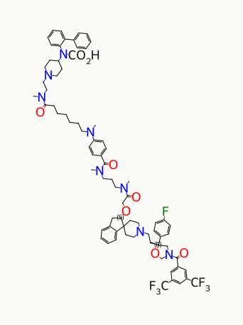 CN(CCN1CCC(N(C(=O)O)c2ccccc2-c2ccccc2)CC1)C(=O)CCCCCCN(C)c1ccc(C(=O)N(C)CCCN(C)C(=O)CO[C@H]2Cc3ccccc3C23CCN(CC[C@@]2(c4ccc(F)cc4)CN(C(=O)c4cc(C(F)(F)F)cc(C(F)(F)F)c4)CO2)CC3)cc1